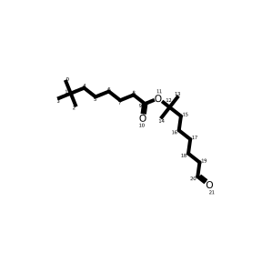 CC(C)(C)CCCCCC(=O)OC(C)(C)CCCCCC=O